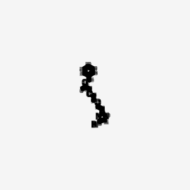 CC(COCCOCCn1ncc(Br)n1)OCc1ccccc1